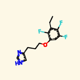 CCc1c(F)c(F)cc(OCCCc2c[nH]cn2)c1F